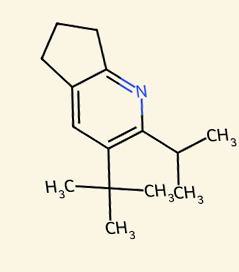 CC(C)c1nc2c(cc1C(C)(C)C)CCC2